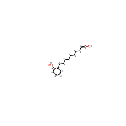 O=C=CCCCCCCCCc1ccccc1O